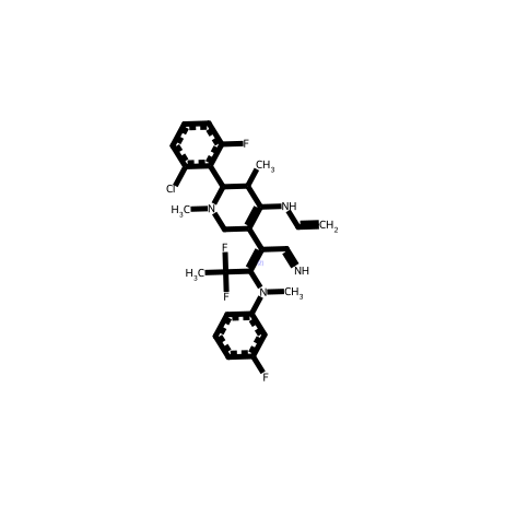 C=CNC1=C(/C(C=N)=C(/N(C)c2cccc(F)c2)C(C)(F)F)CN(C)C(c2c(F)cccc2Cl)C1C